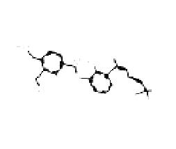 CC/C(=C/C=C/C(O)(CC)CC)c1cccc(OCc2ccc(CO)c(CO)c2)c1OC